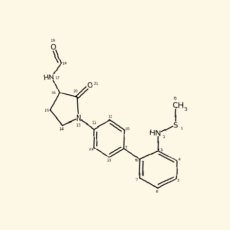 CSNc1ccccc1-c1ccc(N2CCC(NC=O)C2=O)cc1